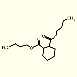 CCCCOC(=O)C1CCCCC1C(=O)OCCCC